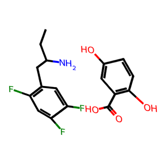 CCC(N)Cc1cc(F)c(F)cc1F.O=C(O)c1cc(O)ccc1O